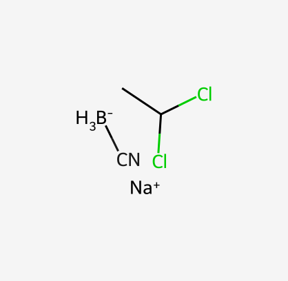 CC(Cl)Cl.[BH3-]C#N.[Na+]